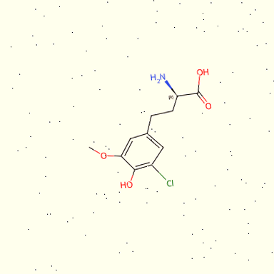 COc1cc(CC[C@@H](N)C(=O)O)cc(Cl)c1O